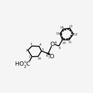 O=C(O)C1CCCC(C(=O)OCc2ccccc2)C1